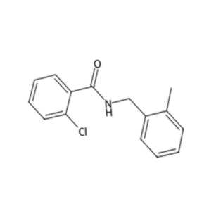 Cc1ccccc1CNC(=O)c1ccccc1Cl